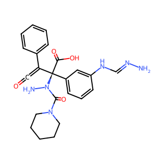 NN=CNc1cccc([C@@](C(=O)O)(C(=C=O)c2ccccc2)N(N)C(=O)N2CCCCC2)c1